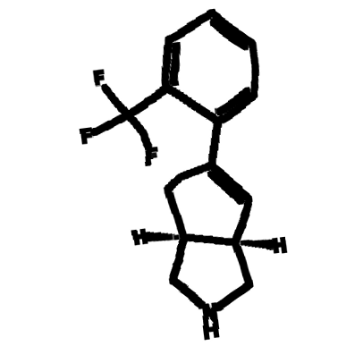 FC(F)(F)c1ccccc1C1=C[C@H]2CNC[C@H]2C1